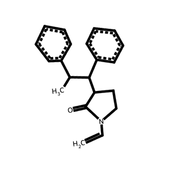 C=CN1CCC(C(c2ccccc2)C(C)c2ccccc2)C1=O